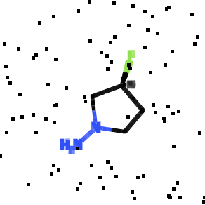 NN1CC[C@H](F)C1